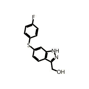 OCc1n[nH]c2cc(Sc3ccc(F)cc3)ccc12